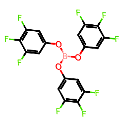 Fc1cc(OB(Oc2cc(F)c(F)c(F)c2)Oc2cc(F)c(F)c(F)c2)cc(F)c1F